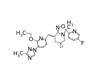 CCOc1nc(/C=C2\CC3(CC3)CN3C2=NOC3(C)c2ccc(F)cn2)ccc1-n1cnc(C)n1